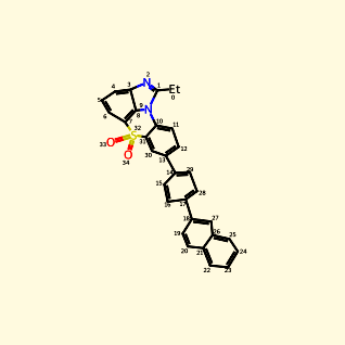 CCc1nc2cccc3c2n1-c1ccc(-c2ccc(-c4ccc5ccccc5c4)cc2)cc1S3(=O)=O